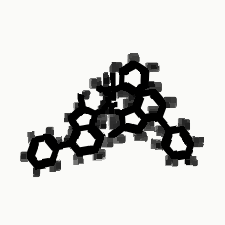 CC1=Cc2c(-c3ccccc3)cccc2[CH]1[Zr]([CH]1C(C)=Cc2c(-c3ccccc3)cccc21)[SiH](C)c1ccccc1